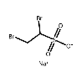 O=S(=O)([O-])C(Br)CBr.[Na+]